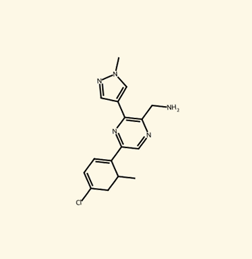 CC1CC(Cl)=CC=C1c1cnc(CN)c(-c2cnn(C)c2)n1